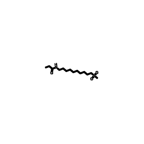 CCC(=O)NCCCCCCCCCCS(C)(=O)=O